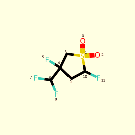 O=S1(=O)CC(F)(C(F)F)CC1F